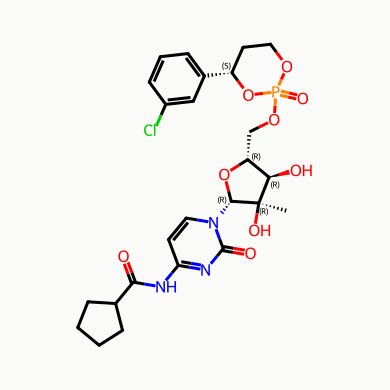 C[C@@]1(O)[C@H](O)[C@@H](COP2(=O)OCC[C@@H](c3cccc(Cl)c3)O2)O[C@H]1n1ccc(NC(=O)C2CCCC2)nc1=O